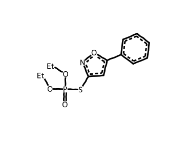 CCOP(=O)(OCC)Sc1cc(-c2ccccc2)on1